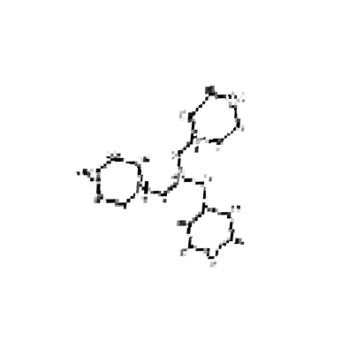 C1CN(CP(CN2CCOCC2)CN2CCOCC2)CCO1